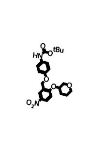 CC(C)(C)OC(=O)Nc1ccc(OCc2cc([N+](=O)[O-])ccc2OC2CCCOC2)cc1